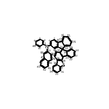 c1ccc(N(c2ccc3c(c2)C2(c4ccccc4-3)c3ccccc3-c3c2ccc2c3sc3ccccc32)c2ccc3ccccc3c2)cc1